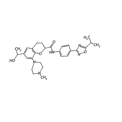 CC(C)c1nc(-c2ccc(NC(=O)C3CCc4cc(C(C)O)cc(N5CCN(C)CC5)c4O3)cc2)no1